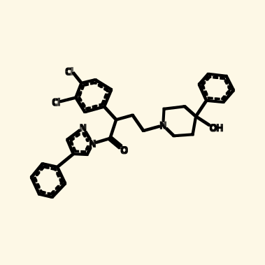 O=C(C(CCN1CCC(O)(c2ccccc2)CC1)c1ccc(Cl)c(Cl)c1)n1cc(-c2ccccc2)cn1